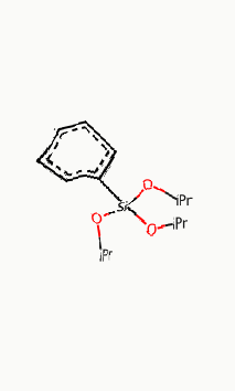 CC(C)O[Si](OC(C)C)(OC(C)C)c1cc[c]cc1